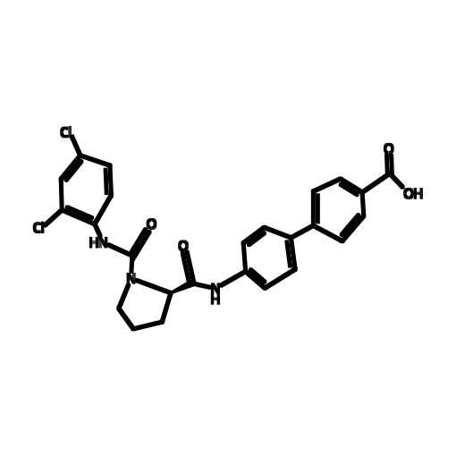 O=C(O)c1ccc(-c2ccc(NC(=O)[C@H]3CCCN3C(=O)Nc3ccc(Cl)cc3Cl)cc2)cc1